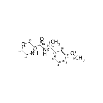 COc1cccc([C@@H](C)NC(=O)C2COCCN2)c1